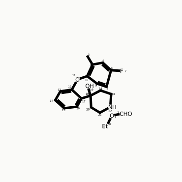 CCOC=O.Cc1cc(F)ccc1Oc1ccccc1C1(O)CCNCC1